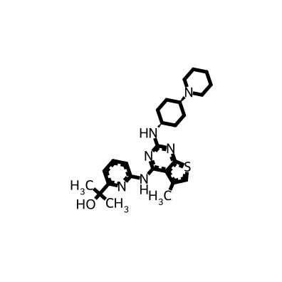 Cc1csc2nc(N[C@H]3CC[C@H](N4CCCCC4)CC3)nc(Nc3cccc(C(C)(C)O)n3)c12